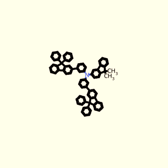 CC1(C)c2ccccc2-c2cc(N(c3cccc(-c4ccc5c(c4)C(c4ccccc4)(c4ccccc4)c4ccccc4-5)c3)c3cccc(-c4ccc5c(c4)C(c4ccccc4)(c4ccccc4)c4ccccc4-5)c3)ccc21